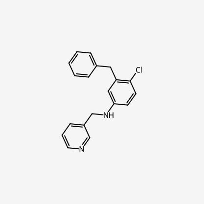 Clc1ccc(NCc2cccnc2)cc1Cc1ccccc1